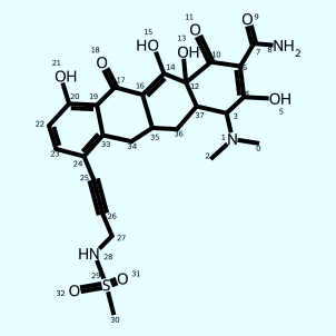 CN(C)C1C(O)=C(C(N)=O)C(=O)C2(O)C(O)=C3C(=O)c4c(O)ccc(C#CCNS(C)(=O)=O)c4CC3CC12